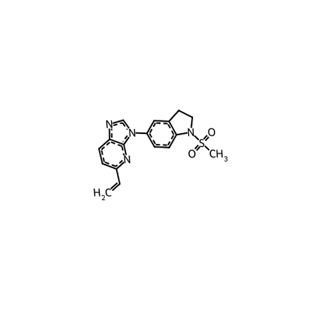 C=Cc1ccc2ncn(-c3ccc4c(c3)CCN4S(C)(=O)=O)c2n1